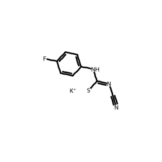 N#C/N=C(\[S-])Nc1ccc(F)cc1.[K+]